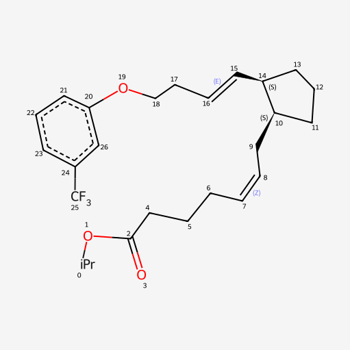 CC(C)OC(=O)CCC/C=C\C[C@@H]1CCC[C@@H]1/C=C/CCOc1cccc(C(F)(F)F)c1